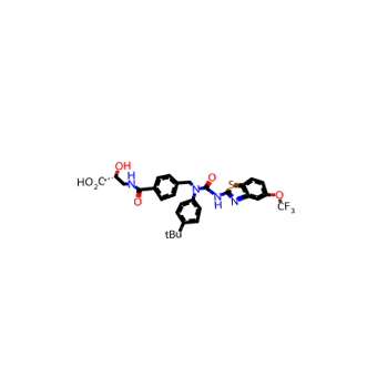 CC(C)(C)c1ccc(N(Cc2ccc(C(=O)NC[C@@H](O)C(=O)O)cc2)C(=O)Nc2nc3cc(OC(F)(F)F)ccc3s2)cc1